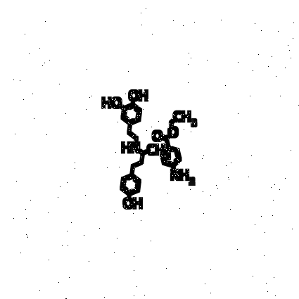 CC(CCc1ccc(O)cc1)NCCc1ccc(O)c(O)c1.CCOC(=O)c1ccc(N)cc1